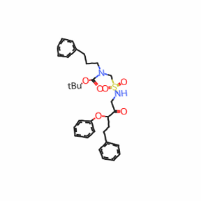 CC(C)(C)OC(=O)N(CCCc1ccccc1)CS(=O)(=O)NCC(=O)C(CCc1ccccc1)Oc1ccccc1